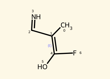 C/C(C=N)=C(/O)F